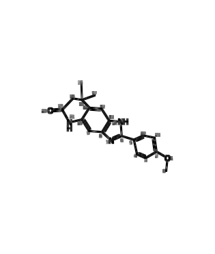 COc1ccc(-c2nc3cc4c(cc3[nH]2)C(C)(C)CC(=O)N4)cc1